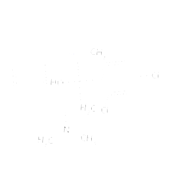 C/C(=C/c1ccccc1)C(O)(c1ccc(Cl)cc1Cl)C(C)CN(C)C